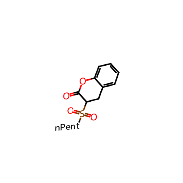 CCCCCS(=O)(=O)C1Cc2ccccc2OC1=O